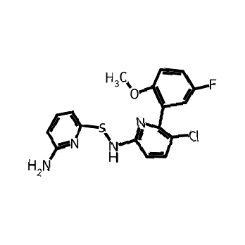 COc1ccc(F)cc1-c1nc(NSc2cccc(N)n2)ccc1Cl